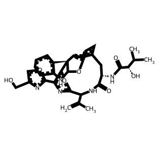 C=C(C)C1NC(=O)[C@@H](NC(=O)[C@@H](O)C(C)C)Cc2ccc3c(c2)[C@@]2(c4ccccc4NC2O3)c2oc1nc2-c1nc(CO)co1